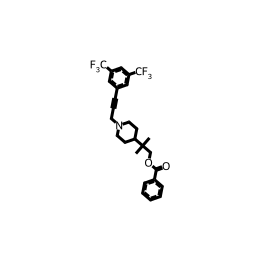 CC(C)(COC(=O)c1ccccc1)C1CCN(CC#Cc2cc(C(F)(F)F)cc(C(F)(F)F)c2)CC1